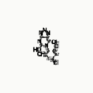 Oc1nc2nnnc-2c(O)n1-c1c(Cl)cc(Cl)cc1Cl